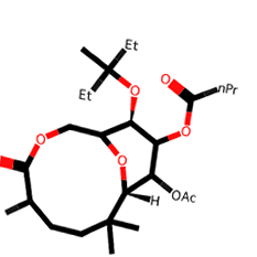 CCCC(=O)OC1C(OC(C)=O)[C@H]2OC(COC(=O)C(CC)CCC2(C)C)[C@H]1OC(C)(CC)CC